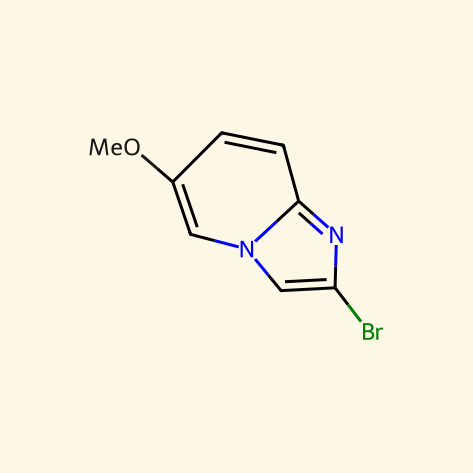 COc1ccc2nc(Br)cn2c1